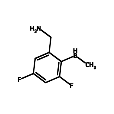 CBc1c(F)cc(F)cc1CN